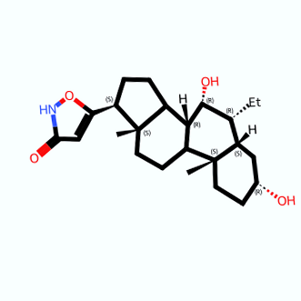 CC[C@H]1[C@@H](O)[C@H]2C3CC[C@H](c4cc(=O)[nH]o4)[C@@]3(C)CCC2[C@@]2(C)CC[C@@H](O)C[C@@H]12